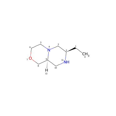 CC[C@@H]1CN2CCOC[C@@H]2CN1